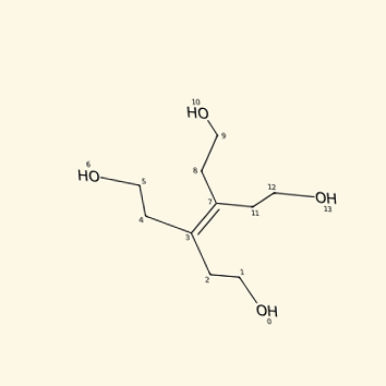 OCCC(CCO)=C(CCO)CCO